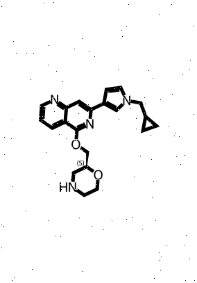 c1cnc2cc(-c3ccn(CC4CC4)c3)nc(OC[C@@H]3CNCCO3)c2c1